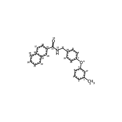 Cc1cccc(Oc2ccc(CNC(=O)c3ccc4ncccc4c3)cc2)c1